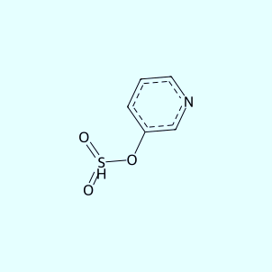 O=[SH](=O)Oc1cccnc1